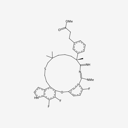 CN/C1=N\C(=N)[C@@](C)(c2cccc(CCC(=O)OC)c2)CCCC(C)(C)CSCCc2c(c(F)c(F)c3[nH]ccc23)Oc2ccc(F)c1c2